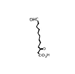 O=CCCCCCCCCC(=O)CC(=O)O